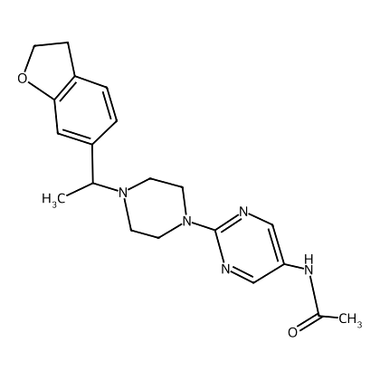 CC(=O)Nc1cnc(N2CCN(C(C)c3ccc4c(c3)OCC4)CC2)nc1